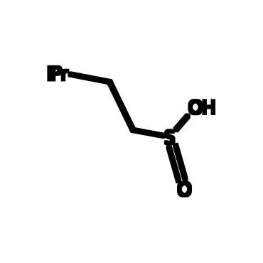 CC(C)CCS(=O)O